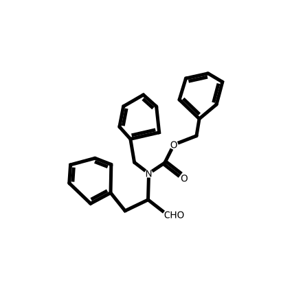 O=CC(Cc1ccccc1)N(Cc1ccccc1)C(=O)OCc1ccccc1